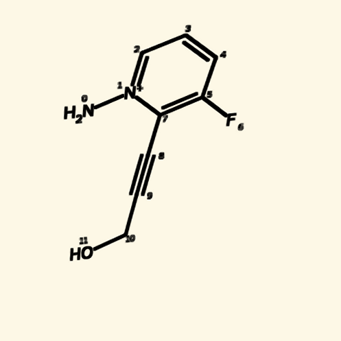 N[n+]1cccc(F)c1C#CCO